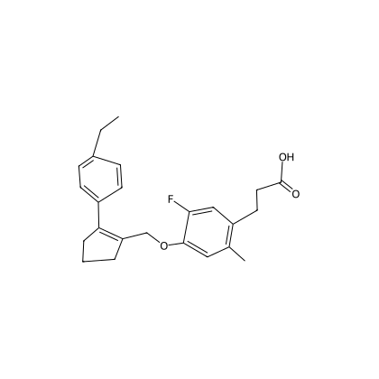 CCc1ccc(C2=C(COc3cc(C)c(CCC(=O)O)cc3F)CCC2)cc1